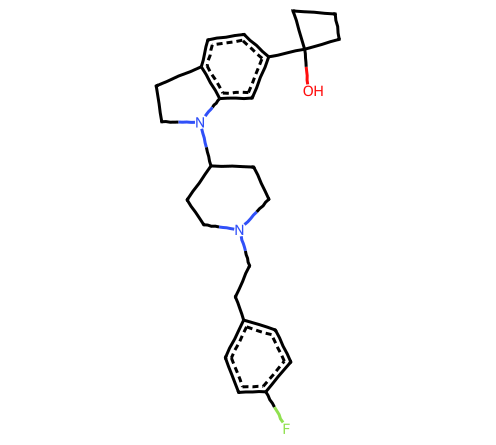 OC1(c2ccc3c(c2)N(C2CCN(CCc4ccc(F)cc4)CC2)CC3)CCC1